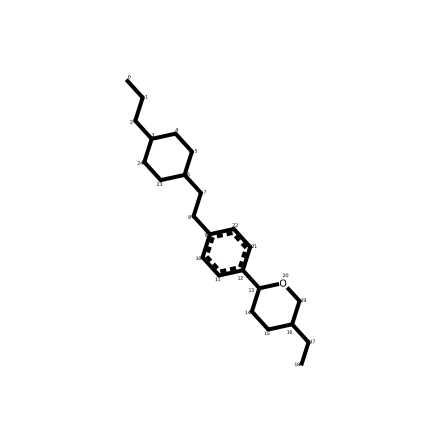 CCCC1CCC(CCc2ccc(C3CCC(CC)CO3)cc2)CC1